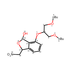 CCCCOCC(COCCCC)Oc1cccc2c1B(O)OC2C[N+](=O)[O-]